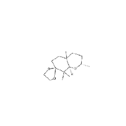 C[C@H]1CCC2(C)CCC3(OCCO3)C(C)(C)[C@@H]2O1